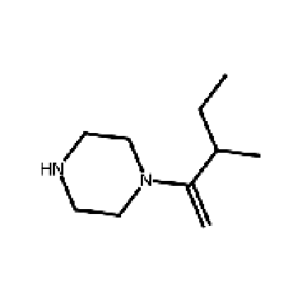 C=C(C(C)CC)N1CCNCC1